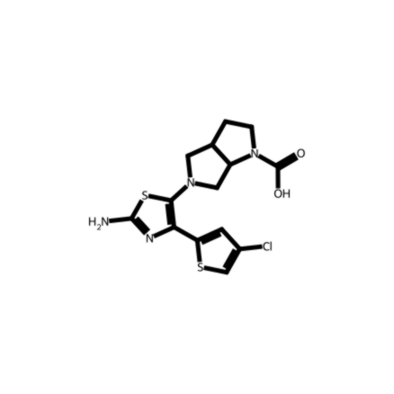 Nc1nc(-c2cc(Cl)cs2)c(N2CC3CCN(C(=O)O)C3C2)s1